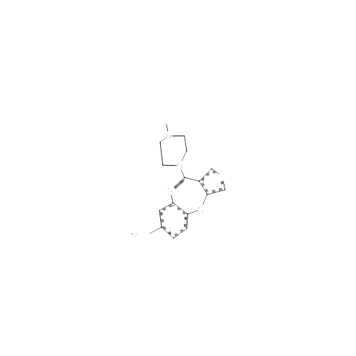 CSc1ccc2c(c1)N=C(N1CCN(C)CC1)c1cscc1N2